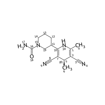 CC1=C(C#N)[C@@H](C)C(C#N)=C(C2CCCN(C(N)=O)C2)N1